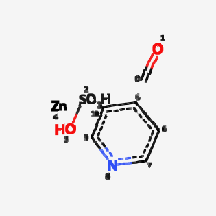 C=O.O=S(=O)(O)O.[Zn].c1ccncc1